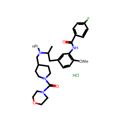 CCCN(CC1CCN(C(=O)N2CCOCC2)CC1)C(C)Cc1ccc(OC)c(NC(=O)c2ccc(F)cc2)c1.Cl